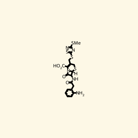 CSc1nsc(SCC2=C(C(=O)O)N3C(=O)C(NC(=O)Cc4ccccc4N)[C@@H]3SC2)n1